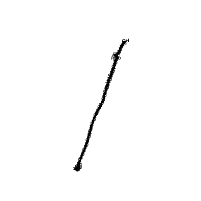 O=C(O)CCCCCCCCCC[C@@H](C(=O)O)C(=O)NCCOCCOCCOCCOCCOCCOCCOCCOCCOCCOCCOCCOCCOCCOCCOCCOCCOCCOCCOCCOCCOCCOCCOCCOCCC(=O)ON1C(=O)CCC1=O